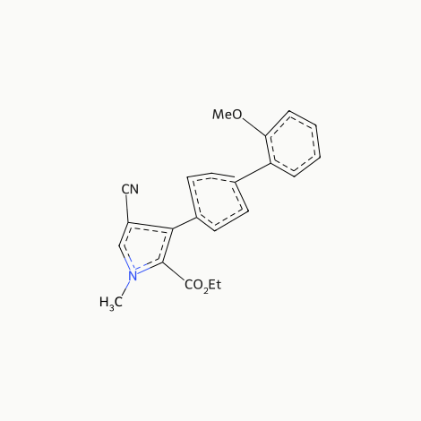 CCOC(=O)c1c(-c2ccc(-c3ccccc3OC)cc2)c(C#N)cn1C